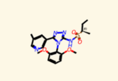 CC[C@@H](C)S(=O)(=O)Nc1nnc(-c2cncc(C)c2)n1-c1c(OC)cccc1OC